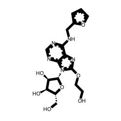 OCCOc1nc2c(NCc3ccco3)ncnc2n1[C@@H]1O[C@H](CO)[C@@H](O)[C@H]1O